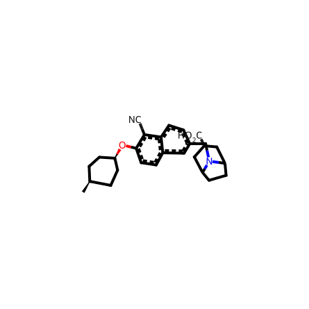 C[C@H]1CC[C@@H](Oc2ccc3cc(CN4C5CCC4CC(C(=O)O)C5)ccc3c2C#N)CC1